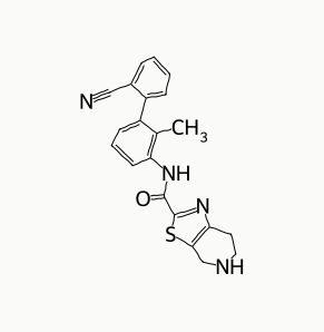 Cc1c(NC(=O)c2nc3c(s2)CNCC3)cccc1-c1ccccc1C#N